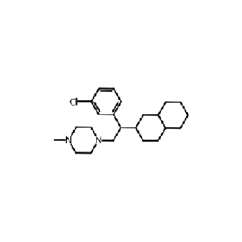 CN1CCN(CC(c2cccc(Cl)c2)C2CCC3CCCCC3C2)CC1